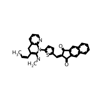 C=NC1=C(/C=C\C)Cc2cccnc2N1c1ccc(C=C2C(=O)c3cc4ccccc4cc3C2=O)s1